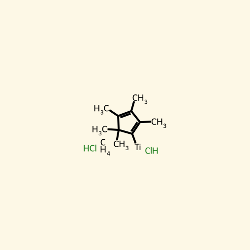 C.CC1=C(C)C(C)(C)[C]([Ti])=C1C.Cl.Cl